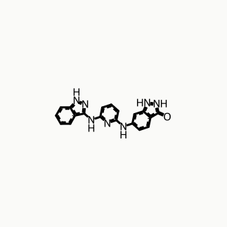 O=c1[nH][nH]c2cc(Nc3cccc(Nc4n[nH]c5ccccc45)n3)ccc12